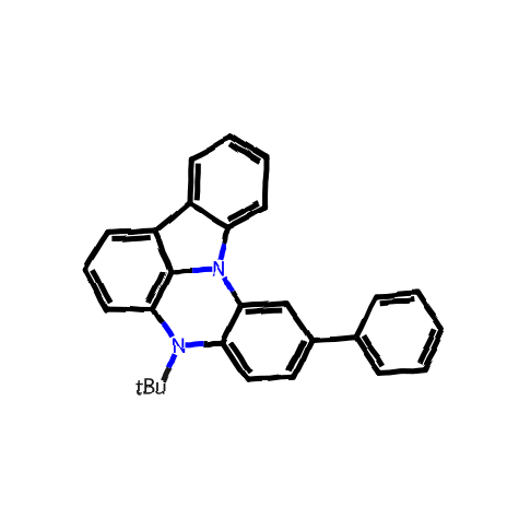 CC(C)(C)N1c2ccc(-c3ccccc3)cc2-n2c3ccccc3c3cccc1c32